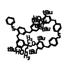 CC(C)(C)c1cc(Cc2ccc(Sc3ccc(Cc4cc(C(C)(C)C)c(OCC(C)(C)c5cc(Cc6cc(Cc7cc(C(C)(C)C)c(O)c(C(C)(C)C)c7)ccc6Sc6ccccc6)cc(C(C)(C)C)c5O)c(C(C)(C)C)c4)cc3)cc2)cc(C(C)(C)C)c1O